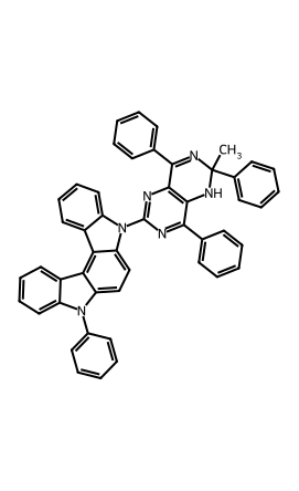 CC1(c2ccccc2)N=C(c2ccccc2)c2nc(-n3c4ccccc4c4c5c6ccccc6n(-c6ccccc6)c5ccc43)nc(-c3ccccc3)c2N1